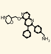 NCc1ccc(-c2nc3ccnc(OCC4CNCCO4)c3cc2-c2ccccc2)cc1